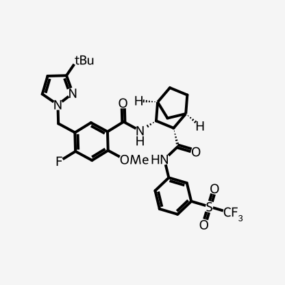 COc1cc(F)c(Cn2ccc(C(C)(C)C)n2)cc1C(=O)N[C@@H]1[C@H]2CC[C@H](C2)[C@@H]1C(=O)Nc1cccc(S(=O)(=O)C(F)(F)F)c1